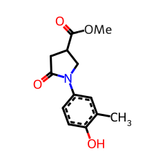 COC(=O)C1CC(=O)N(c2ccc(O)c(C)c2)C1